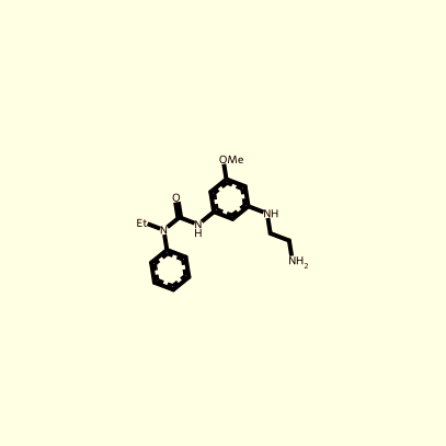 CCN(C(=O)Nc1cc(NCCN)cc(OC)c1)c1ccccc1